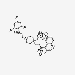 COc1ccc2ncc(CO)c([C@@H](F)CCC3(CC(=O)O)CCN(CCNc4c(F)cc(F)cc4F)CC3)c2c1